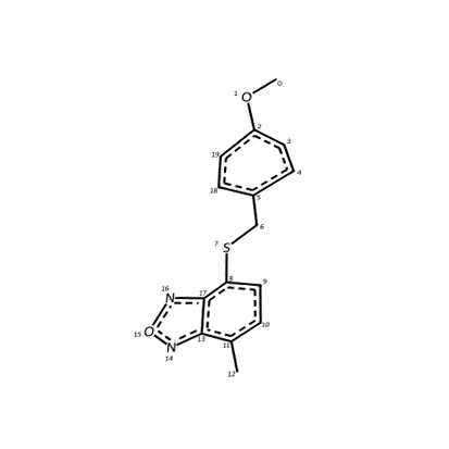 COc1ccc(CSc2ccc(C)c3nonc23)cc1